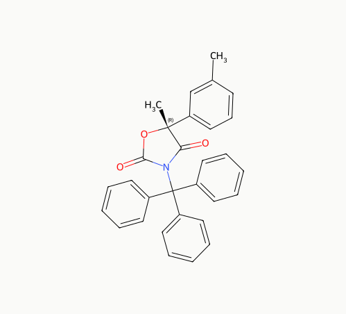 Cc1cccc([C@@]2(C)OC(=O)N(C(c3ccccc3)(c3ccccc3)c3ccccc3)C2=O)c1